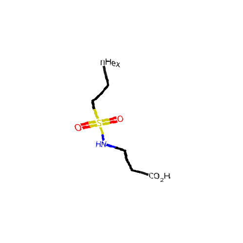 CCCCCCCCS(=O)(=O)NCCC(=O)O